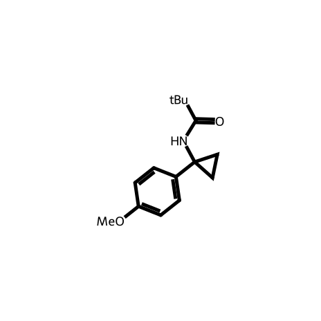 COc1ccc(C2(NC(=O)C(C)(C)C)CC2)cc1